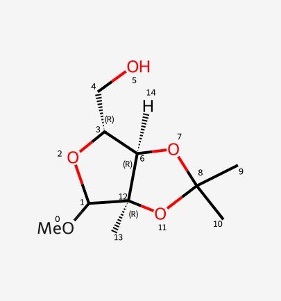 COC1O[C@H](CO)[C@H]2OC(C)(C)O[C@@]12C